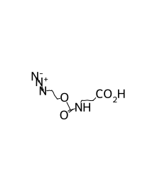 [N-]=[N+]=NCCOC(=O)NCCC(=O)O